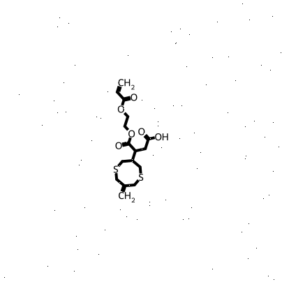 C=CC(=O)OCCOC(=O)C(CC(=O)O)C1CSCC(=C)CSC1